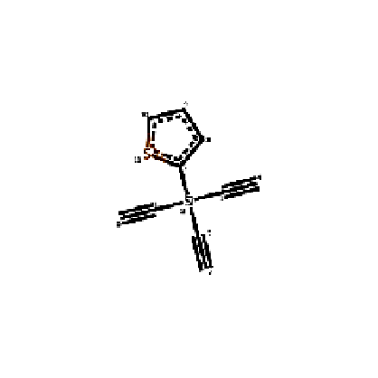 C#C[Si](C#C)(C#C)c1cccs1